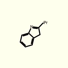 CC(C)C1=Nc2ccccc2C1